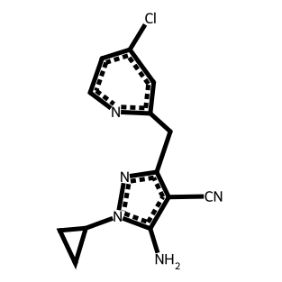 N#Cc1c(Cc2cc(Cl)ccn2)nn(C2CC2)c1N